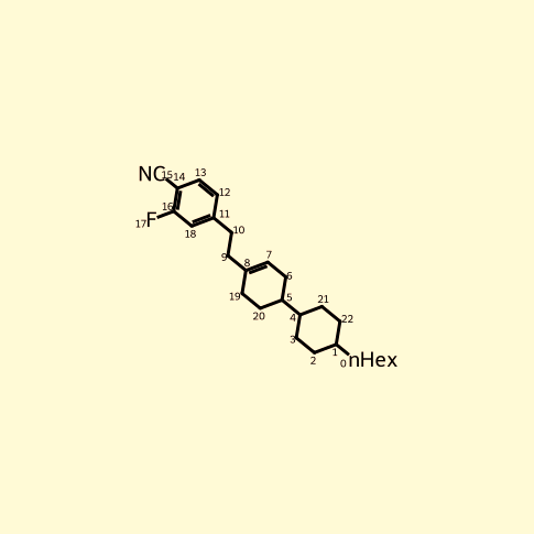 CCCCCCC1CCC(C2CC=C(CCc3ccc(C#N)c(F)c3)CC2)CC1